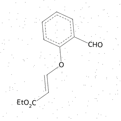 CCOC(=O)C=COc1ccccc1C=O